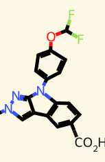 Cn1cc2c3cc(C(=O)O)ccc3n(-c3ccc(OC(F)F)cc3)c2n1